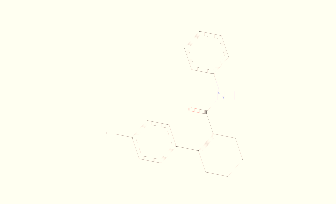 O=C(Nc1cc[c]cc1)C1=C(c2ccc(C(F)(F)F)cc2)CCCC1